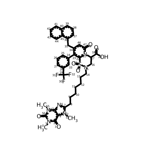 Cn1c(=O)c2c(nc(CCCCCCCN3CC(C(=O)O)n4c(c(-c5cccc(C(F)(F)F)c5)c(Cc5cccc6ccccc56)cc4=O)S3(=O)=O)n2C)n(C)c1=O